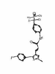 CCC(CC)(c1ccc(NC(=O)/C=C/c2cn(C)nc2-c2ccc(F)cc2)cc1)P(=O)(O)O